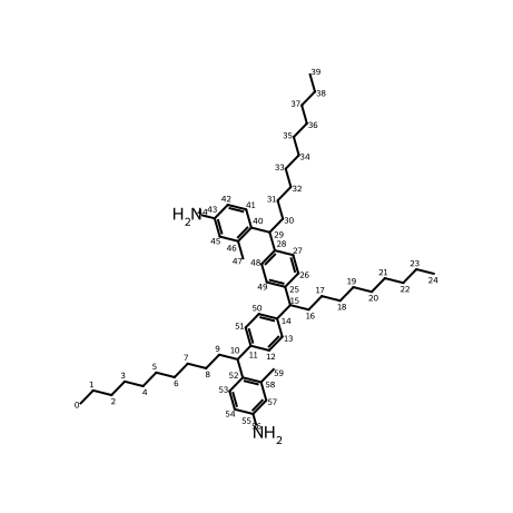 CCCCCCCCCCC(c1ccc(C(CCCCCCCCC)c2ccc(C(CCCCCCCCCC)c3ccc(N)cc3C)cc2)cc1)c1ccc(N)cc1C